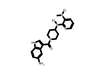 CCN(C)c1cccnc1N(CC)C1CCN(C(=O)c2c[nH]c3ccc(N)cc23)CC1